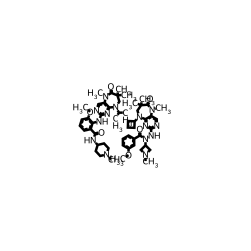 COc1cccc(C(=O)N(Nc2ncc3c(n2)N(C2CCC2)CC(C)(C)C(=O)N3C)C2CN(C)C2)c1.COc1cccc(C(=O)NC2CCN(C)CC2)c1Nc1ncc2c(n1)N(C(C)C)CC(C)(C)C(=O)N2C